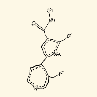 CCCNC(=O)c1cc(-c2ccncc2F)[nH]c1Br